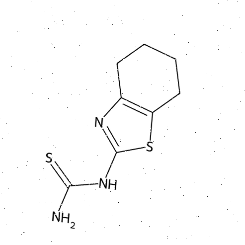 NC(=S)Nc1nc2c(s1)CCCC2